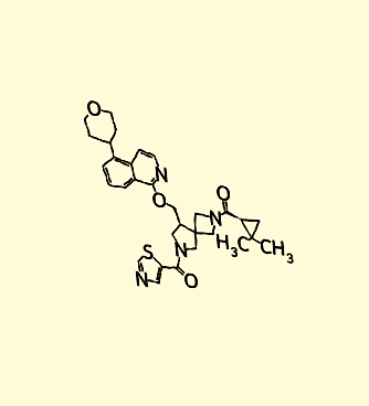 CC1(C)C[C@@H]1C(=O)N1CC2(CN(C(=O)c3cncs3)C[C@H]2COc2nccc3c(C4CCOCC4)cccc23)C1